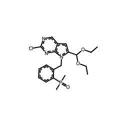 CCOC(OCC)c1cc2cnc(Cl)nc2n1Cc1ccccc1P(C)(C)=O